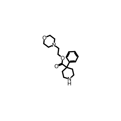 O=C(OCCN1CCOCC1)C1(c2ccccc2)CCNCC1